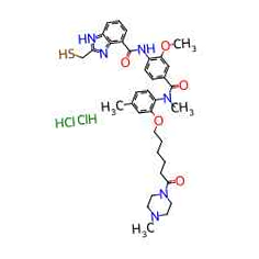 COc1cc(C(=O)N(C)c2ccc(C)cc2OCCCCCC(=O)N2CCN(C)CC2)ccc1NC(=O)c1cccc2[nH]c(CS)nc12.Cl.Cl